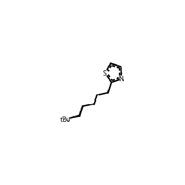 CC(C)(C)CCCCCc1nccs1